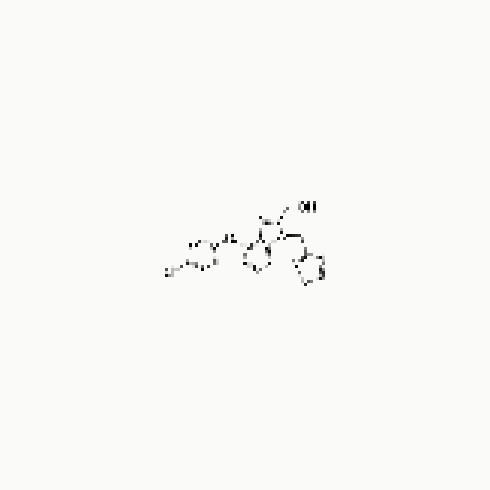 OCc1nc2c(Oc3ccc(Cl)cc3)cccc2n1Cc1nc[nH]n1